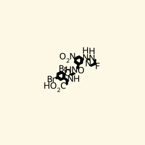 O=C(O)CC(NC(=O)CNC(=O)c1cc(NC2=NCC(F)CN2)cc([N+](=O)[O-])c1)c1cc(Br)cc(Br)c1